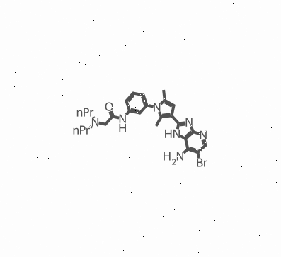 CCCN(CCC)CC(=O)Nc1cccc(-n2c(C)cc(-c3nc4ncc(Br)c(N)c4[nH]3)c2C)c1